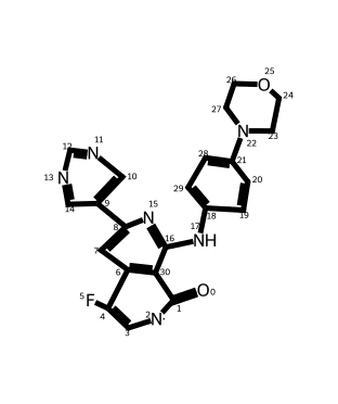 O=C1[N]C=C(F)c2cc(-c3cncnc3)nc(Nc3ccc(N4CCOCC4)cc3)c21